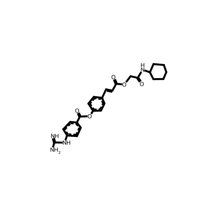 N=C(N)Nc1ccc(C(=O)Oc2ccc(C=CC(=O)OCC(=O)NC3CCCCC3)cc2)cc1